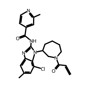 C=CC(=O)N1CCCCC(n2c(NC(=O)c3ccnc(C)c3)nc3cc(C)cc(Cl)c32)C1